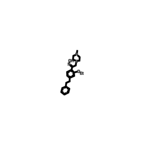 CCOc1cc(CCc2ccccc2)ccc1/C(CN1CCN(C)CC1)=N/O